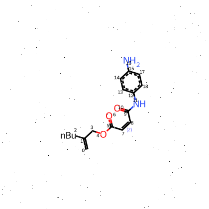 C=C(CCCC)COC(=O)/C=C\C(=O)Nc1ccc(N)cc1